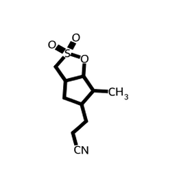 CC1C(CCC#N)CC2CS(=O)(=O)OC21